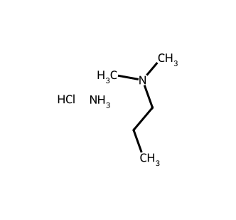 CCCN(C)C.Cl.N